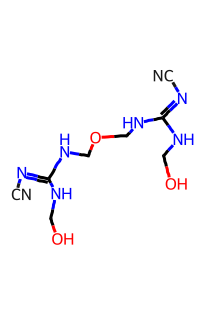 N#CN=C(NCO)NCOCNC(=NC#N)NCO